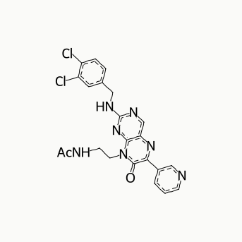 CC(=O)NCCn1c(=O)c(-c2cccnc2)nc2cnc(NCc3ccc(Cl)c(Cl)c3)nc21